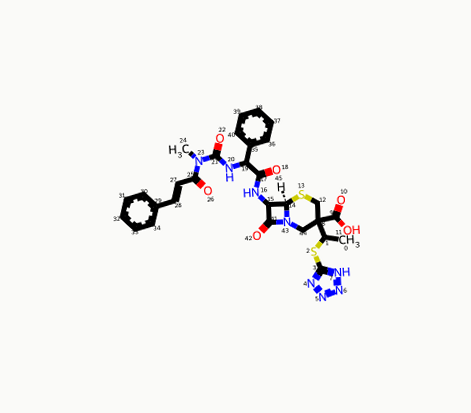 CC(Sc1nnn[nH]1)C1(C(=O)O)CS[C@@H]2C(NC(=O)C(NC(=O)N(C)C(=O)C=Cc3ccccc3)c3ccccc3)C(=O)N2C1